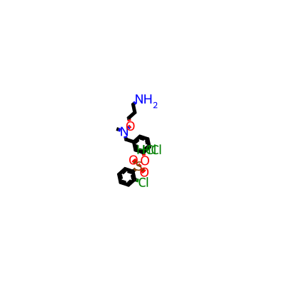 CN(Cc1cccc(OS(=O)(=O)c2ccccc2Cl)c1)OCCCN.Cl.Cl